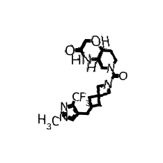 Cn1cc(CC2CC3(C2)CN(C(=O)N2CC[C@@H]4OCC(=O)N[C@@H]4C2)C3)c(C(F)(F)F)n1